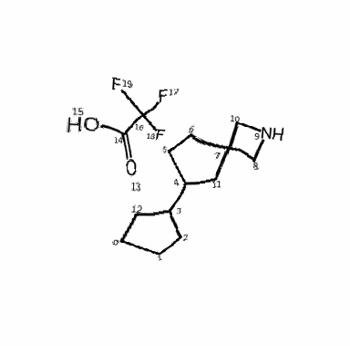 C1CCC(C2CCC3(CNC3)C2)C1.O=C(O)C(F)(F)F